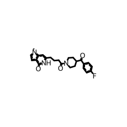 Cn1ccc2c(=O)[nH]c(CCCC(=O)N3CCC(C(=O)c4ccc(F)cc4)CC3)cc21